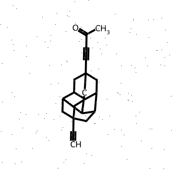 C#CC12CC3C4CC5(C#CC(C)=O)CC3C(C1)C(C5)C4C2